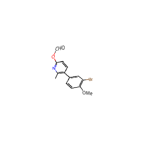 COc1ccc(-c2ccc(OC=O)nc2C)cc1Br